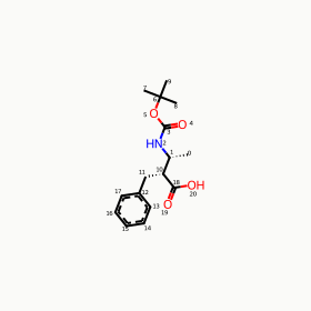 C[C@@H](NC(=O)OC(C)(C)C)[C@@H](Cc1ccccc1)C(=O)O